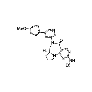 CCNc1ncc2c(n1)N1CCC[C@H]1CN(c1cncc(-c3ccc(OC)cc3)c1)C2=O